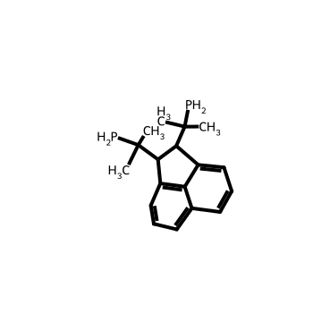 CC(C)(P)C1c2cccc3cccc(c23)C1C(C)(C)P